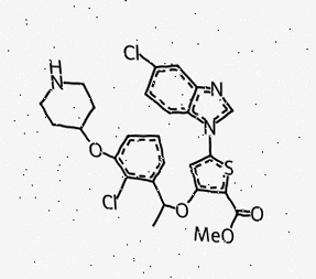 COC(=O)c1sc(-n2cnc3cc(Cl)ccc32)cc1OC(C)c1cccc(OC2CCNCC2)c1Cl